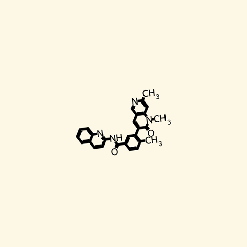 Cc1cc2c(cn1)cc(-c1cc(C(=O)Nc3ccc4ccccc4n3)ccc1C)c(=O)n2C